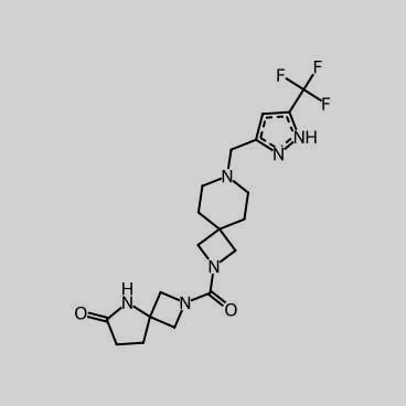 O=C1CCC2(CN(C(=O)N3CC4(CCN(Cc5cc(C(F)(F)F)[nH]n5)CC4)C3)C2)N1